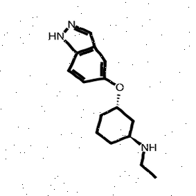 CCN[C@H]1CCC[C@H](Oc2ccc3[nH]ncc3c2)C1